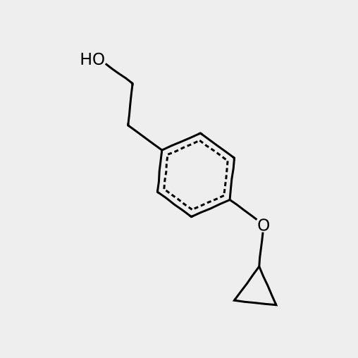 OCCc1ccc(OC2CC2)cc1